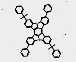 CC(C)(c1ccccc1)c1ccc2c3c4c5ccc(-c6ccccc6)cc5n5c6cc(C(C)(C)c7ccccc7)ccc6c(c6c7ccc(-c8ccccc8)cc7n(c2c1)c63)c45